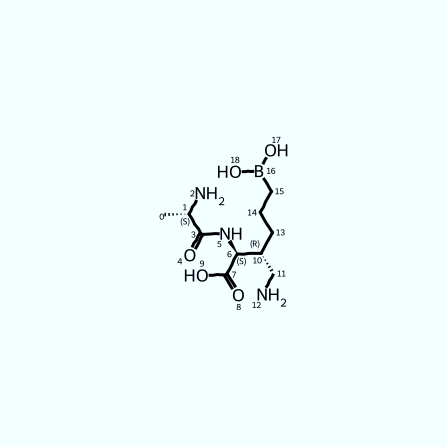 C[C@H](N)C(=O)N[C@H](C(=O)O)[C@@H](CN)CCCB(O)O